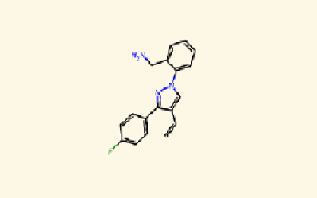 C=Cc1cn(-c2ccccc2CN)nc1-c1ccc(F)cc1